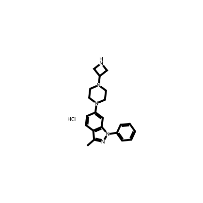 Cc1nn(-c2ccccc2)c2cc(N3CCN(C4CNC4)CC3)ccc12.Cl